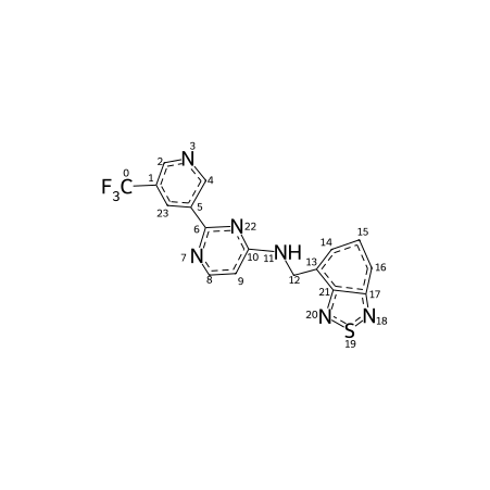 FC(F)(F)c1cncc(-c2nccc(NCc3cccc4nsnc34)n2)c1